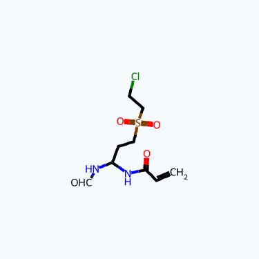 C=CC(=O)NC(CCS(=O)(=O)CCCl)NC=O